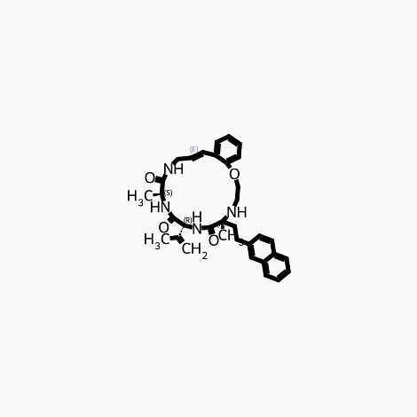 C=C(C)[C@H]1NC(=O)[C@@](C)(CCc2ccc3ccccc3c2)NCCOc2ccccc2/C=C/CNC(=O)[C@H](C)NC1=O